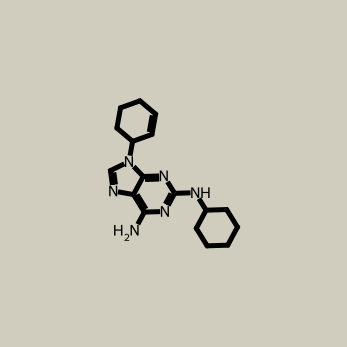 Nc1nc(NC2CCCCC2)nc2c1ncn2C1C=CCCC1